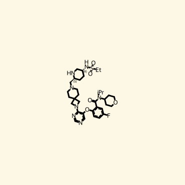 CCS(=O)(=O)N[C@@H]1CC[C@@H](CN2CCC3(CC2)CN(c2ncncc2Oc2ccc(F)cc2C(=O)N(C(C)C)C2CCOCC2)C3)NC1